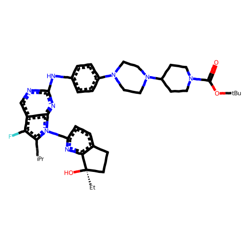 CC[C@@]1(O)CCc2ccc(-n3c(C(C)C)c(F)c4cnc(Nc5ccc(N6CCN(C7CCN(C(=O)OC(C)(C)C)CC7)CC6)cc5)nc43)nc21